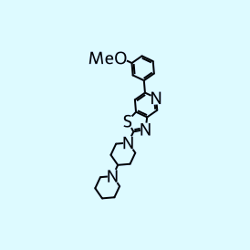 COc1cccc(-c2cc3sc(N4CCC(N5CCCCC5)CC4)nc3cn2)c1